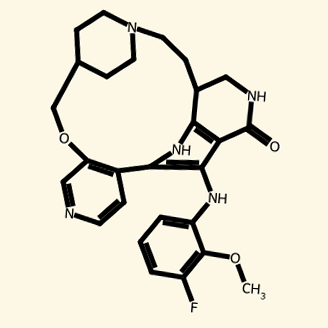 COc1c(F)cccc1Nc1c2[nH]c3c1C(=O)NCC3CCN1CCC(CC1)COc1cnccc1-2